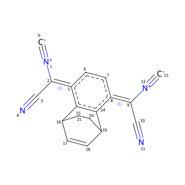 [C-]#[N+]/C(C#N)=c1\cc/c(=C(/C#N)[N+]#[C-])c2c1C1C=CC2CC1